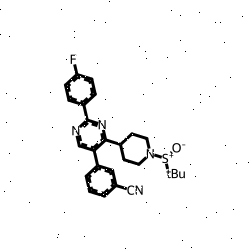 CC(C)(C)[S+]([O-])N1CCC(c2nc(-c3ccc(F)cc3)ncc2-c2cccc(C#N)c2)CC1